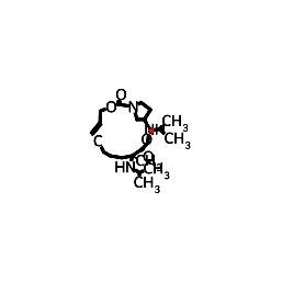 CC(C)N[C@@]1(C)CCCC/C=C/COC(=O)N2CC[C@@](C(=O)C(C)C)(C2)NCC1=O